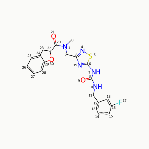 CN(Cc1nsc(NC(=O)NCc2cccc(F)c2)n1)C(=O)C1Cc2ccccc2O1